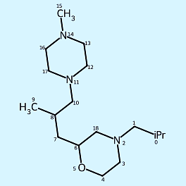 CC(C)CN1CCOC(CC(C)CN2CCN(C)CC2)C1